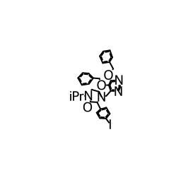 CC(C)N1CCN(Cc2ncnc(OCc3ccccc3)c2OCc2ccccc2)C(c2ccc(I)cc2)C1=O